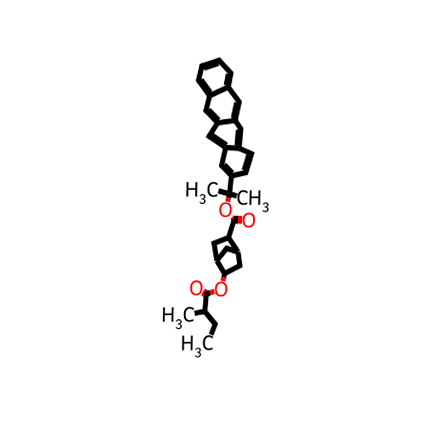 CCC(C)C(=O)OC1CC2CC1CC2C(=O)OC(C)(C)c1ccc2cc3cc4ccccc4cc3cc2c1